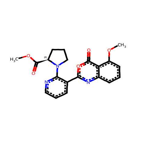 COC(=O)[C@H]1CCCN1c1ncccc1-c1nc2cccc(OC)c2c(=O)o1